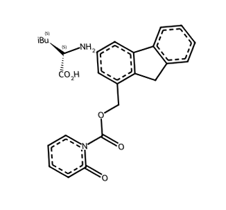 CC[C@H](C)[C@H](N)C(=O)O.O=C(OCc1cccc2c1Cc1ccccc1-2)n1ccccc1=O